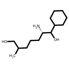 CC(CO)CCC[C@H](N)C(O)C1CCCCC1